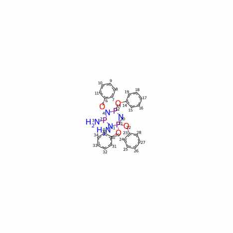 NN1P(N)N(Oc2ccccc2)P(Oc2ccccc2)N=P1(Oc1ccccc1)Oc1ccccc1